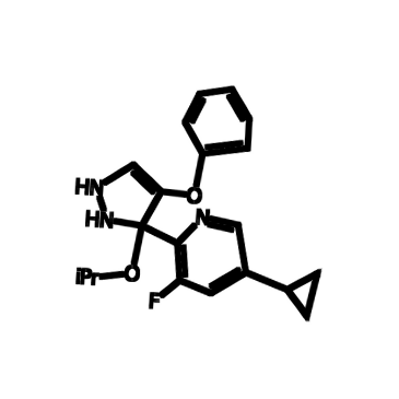 CC(C)OC1(c2ncc(C3CC3)cc2F)NNC=C1Oc1ccccc1